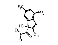 CCN(CC)C(=O)[N+]1(S)C(C(F)(F)F)=Nc2c([N+](=O)[O-])cc(C(F)(F)F)cc21